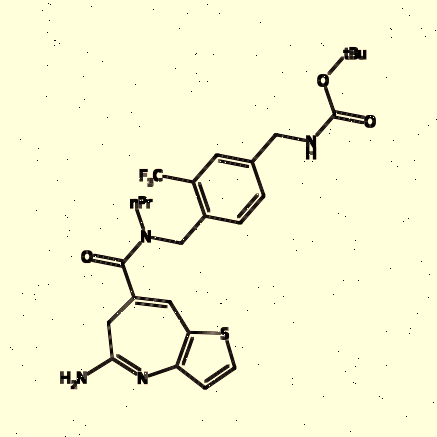 CCCN(Cc1ccc(CNC(=O)OC(C)(C)C)cc1C(F)(F)F)C(=O)C1=Cc2sccc2N=C(N)C1